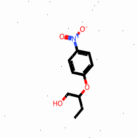 CCC(CO)Oc1ccc([N+](=O)[O-])cc1